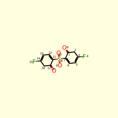 O=C1CC(F)=CC=C1S(=O)(=O)C1=CC=C(F)CC1=O